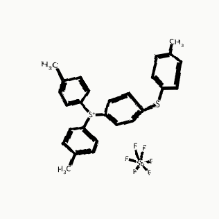 Cc1ccc(Sc2ccc([S+](c3ccc(C)cc3)c3ccc(C)cc3)cc2)cc1.[F][Sb-]([F])([F])([F])([F])[F]